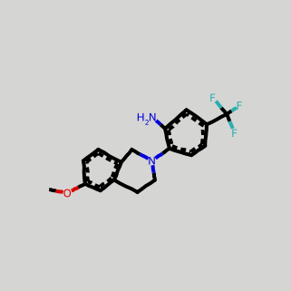 COc1ccc2c(c1)CCN(c1ccc(C(F)(F)F)cc1N)C2